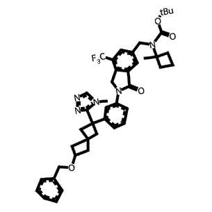 Cn1cnnc1C1(c2cccc(N3Cc4c(cc(CN(C(=O)OC(C)(C)C)C5(C)CCC5)cc4C(F)(F)F)C3=O)c2)CC2(CC(OCc3ccccc3)C2)C1